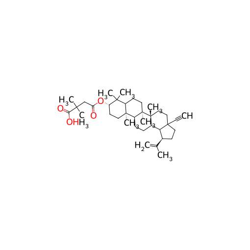 C#CC12CC[C@@H](C(=C)C)C1C1CCC3[C@@]4(C)CC[C@H](OC(=O)CC(C)(C)C(=O)O)C(C)(C)C4CC[C@@]3(C)[C@]1(C)CC2